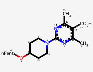 CCCCCOC1CCN(c2nc(C)c(C(=O)O)c(C)n2)CC1